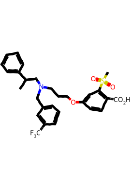 CC(CN(CCCOc1ccc(C(=O)O)c(S(C)(=O)=O)c1)Cc1cccc(C(F)(F)F)c1)c1ccccc1